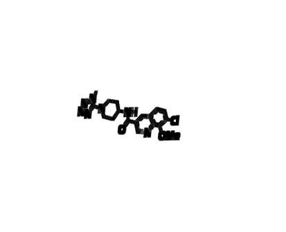 COc1c(Cl)ccc2cc(C(=O)NC3CCN(c4nnnn4C)CC3)cnc12